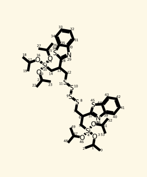 CC(C)O[Si](CC(CSSSSCC(C[Si](OC(C)C)(OC(C)C)OC(C)C)c1nc2ccccc2s1)c1nc2ccccc2s1)(OC(C)C)OC(C)C